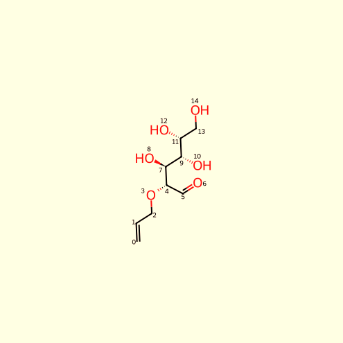 C=CCO[C@@H](C=O)[C@@H](O)[C@@H](O)[C@H](O)CO